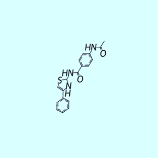 CC(=O)Nc1ccc(C(=O)NC2NC(c3ccccc3)=CS2)cc1